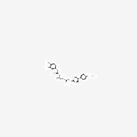 COc1ccc(-c2cnc(NCC(=O)NCC(C)CC(=N)Cc3ccc(Cl)c(Cl)c3)nc2)cc1